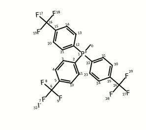 C[P+](c1ccc(C(F)(F)F)cc1)(c1ccc(C(F)(F)F)cc1)c1ccc(C(F)(F)F)cc1.[I-]